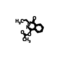 CCn1nc(OC(C)=O)c2ccccc2c1=O